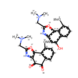 COc1cccc2c(O)cc3nc(CN(C)C)oc3c12.COc1cccc2c1-c1oc(CN(C)C)nc1C(=O)C2=O